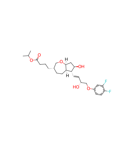 CC(C)OC(=O)CCC[C@H]1CC[C@@H]2[C@@H](C=C[C@@H](O)COc3ccc(F)c(F)c3)[C@H](O)C[C@@H]2OC1